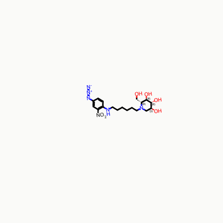 [N-]=[N+]=Nc1ccc(NCCCCCCN2C[C@H](O)[C@@H](O)[C@H](O)[C@H]2CO)c([N+](=O)[O-])c1